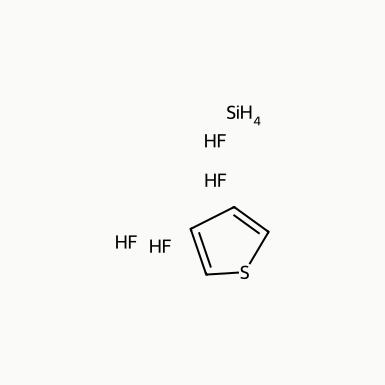 F.F.F.F.[SiH4].c1ccsc1